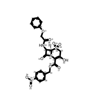 O=C(COc1ccccc1)NC1C(=O)N2C(C(=O)OCc3ccc([N+](=O)[O-])cc3)=C(O)CS(=O)(=O)[C@H]12